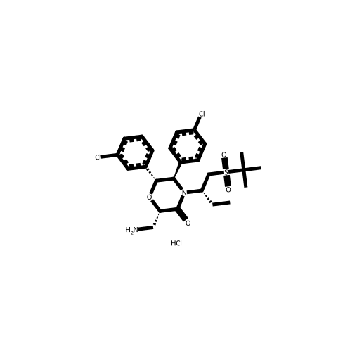 CC[C@@H](CS(=O)(=O)C(C)(C)C)N1C(=O)[C@H](CN)O[C@H](c2cccc(Cl)c2)[C@H]1c1ccc(Cl)cc1.Cl